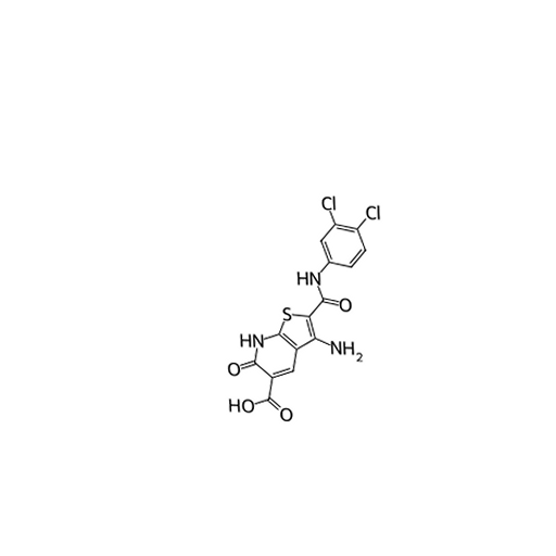 Nc1c(C(=O)Nc2ccc(Cl)c(Cl)c2)sc2[nH]c(=O)c(C(=O)O)cc12